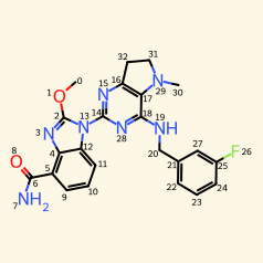 COc1nc2c(C(N)=O)cccc2n1-c1nc2c(c(NCc3cccc(F)c3)n1)N(C)CC2